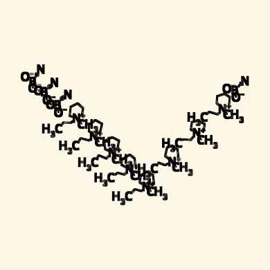 CCC[N+]1(C)CCCCC1.CCC[N+]1(C)CCCCC1.CCC[N+]1(C)CCCCC1.CCC[N+]1(C)CCCCC1.CCC[N+]1(C)CCCCC1.CCC[N+]1(C)CCCCC1.CCC[N+]1(C)CCCCC1.CCC[N+]1(C)CCCCC1.N#CB([O-])[O-].N#CB([O-])[O-].N#CB([O-])[O-].N#CB([O-])[O-]